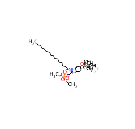 CCCCCCCCCCCCCCCC(=O)N[C@@H](/C=C/P(=O)(OCC)OCC)Cc1ccc(O[Si](C)(C)C(C)(C)C)cc1